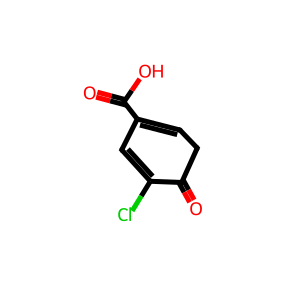 O=C(O)C1=CCC(=O)C(Cl)=C1